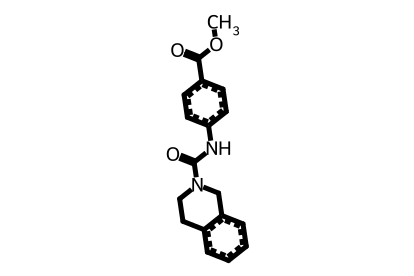 COC(=O)c1ccc(NC(=O)N2CCc3ccccc3C2)cc1